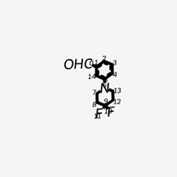 O=Cc1cccc(N2CCC(F)(F)CC2)c1